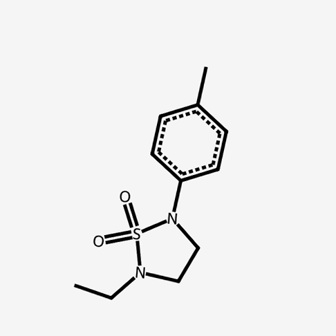 CCN1CCN(c2ccc(C)cc2)S1(=O)=O